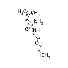 CCCOCCNC(=O)[C@@H](N)CC(C)C